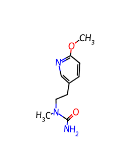 COc1ccc(CCN(C)C(N)=O)cn1